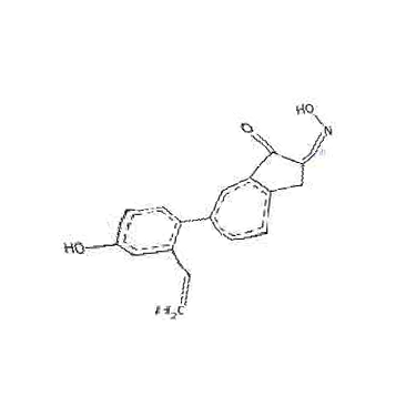 C=Cc1cc(O)ccc1-c1ccc2c(c1)C(=O)/C(=N\O)C2